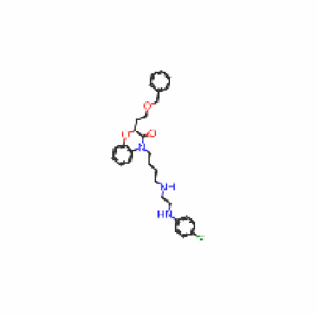 O=C1C(CCOCc2ccccc2)Oc2ccccc2N1CCCCNCCNc1ccc(F)cc1